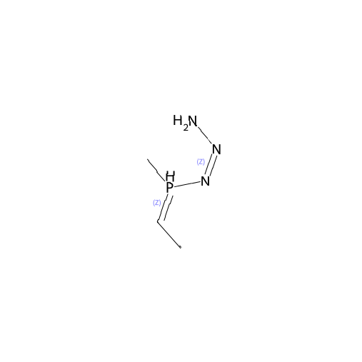 C/C=[PH](C)\N=N/N